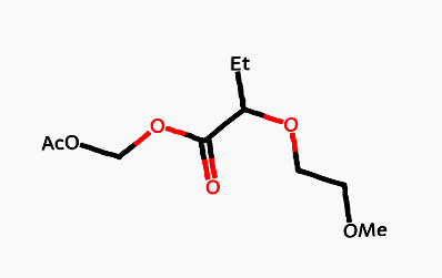 CCC(OCCOC)C(=O)OCOC(C)=O